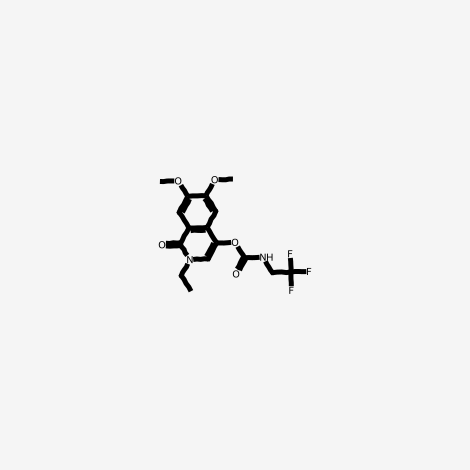 CCn1cc(OC(=O)NCC(F)(F)F)c2cc(OC)c(OC)cc2c1=O